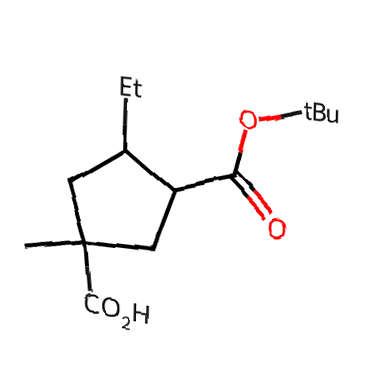 CCC1CC(C)(C(=O)O)CC1C(=O)OC(C)(C)C